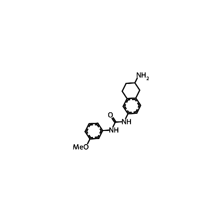 COc1cccc(NC(=O)Nc2ccc3c(c2)CCC(N)C3)c1